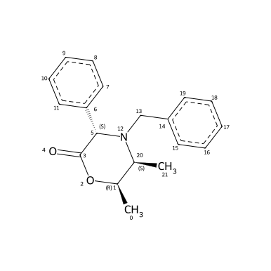 C[C@H]1OC(=O)[C@H](c2ccccc2)N(Cc2ccccc2)[C@H]1C